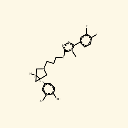 CC(=O)c1cc([C@]23C[C@@H]2CN(CCCSc2nnc(-c4ccc(F)c(F)c4)n2C)C3)ccc1O